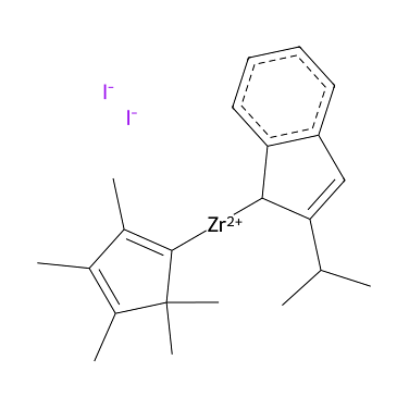 CC1=C(C)C(C)(C)[C]([Zr+2][CH]2C(C(C)C)=Cc3ccccc32)=C1C.[I-].[I-]